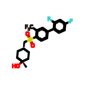 C[C@]1(O)CC[C@H](CS(=O)(=O)c2ccc(-c3ccc(F)cc3F)cc2C(F)(F)F)CC1